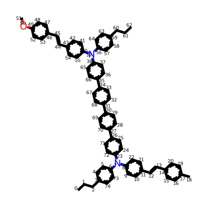 CCCc1ccc(N(c2ccc(/C=C/c3ccc(C)cc3)cc2)c2ccc(-c3ccc(-c4ccc(-c5ccc(N(c6ccc(/C=C/c7ccc(OC)cc7)cc6)c6ccc(CCC)cc6)cc5)cc4)cc3)cc2)cc1